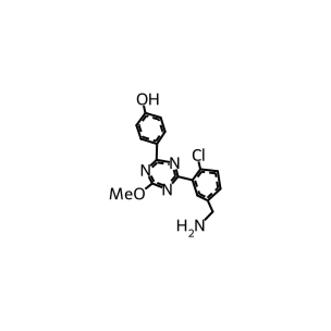 COc1nc(-c2ccc(O)cc2)nc(-c2cc(CN)ccc2Cl)n1